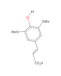 CCOc1c(OC)cc(C=CC(=O)O)cc1OC